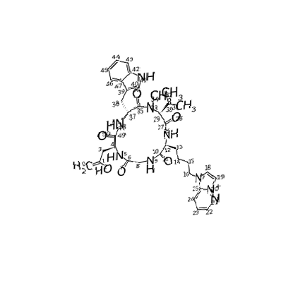 C=C(O)C[C@@H]1NC(=O)CNC(=O)[C@H](CCCCn2cc[n+]3ncccc23)NC(=O)[C@H](C(C)C)N(C)C(=O)[C@@H](Cc2c[nH]c3ccccc23)NC1=O